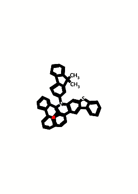 CC1(C)c2ccccc2-c2ccc(N(c3cc4sc5ccccc5c4cc3-c3ccccc3)c3cc4ccccc4c4ccccc34)cc21